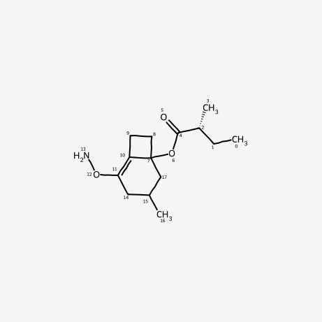 CC[C@@H](C)C(=O)OC12CCC1=C(ON)CC(C)C2